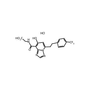 Cl.O=C(O)CNC(=O)c1c(O)cc(CCc2ccc(C(F)(F)F)cc2)n2ncnc12